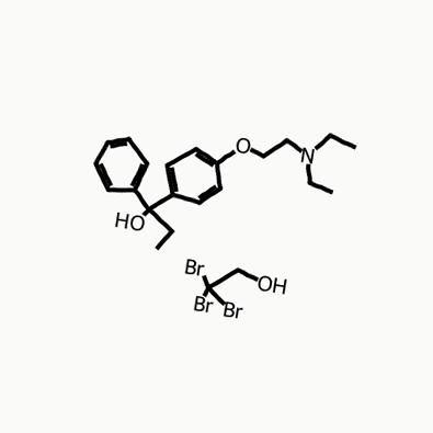 CCN(CC)CCOc1ccc(C(O)(CC)c2ccccc2)cc1.OCC(Br)(Br)Br